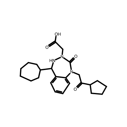 O=C(O)CN1NC(C2CCCCCC2)c2ccccc2N(CC(=O)C2CCCC2)C1=O